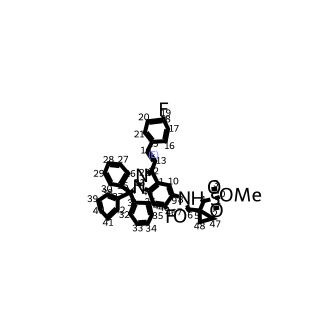 COS(=O)(=O)CC1(C(=O)Nc2cc3c(/C=C/c4ccc(F)cc4)nn(C(c4ccccc4)(c4ccccc4)c4ccccc4)c3cc2F)CC1